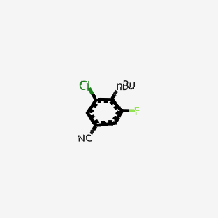 CCCCc1c(F)cc(C#N)cc1Cl